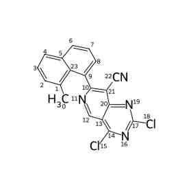 Cc1cccc2cccc(-c3ncc4c(Cl)nc(Cl)nc4c3C#N)c12